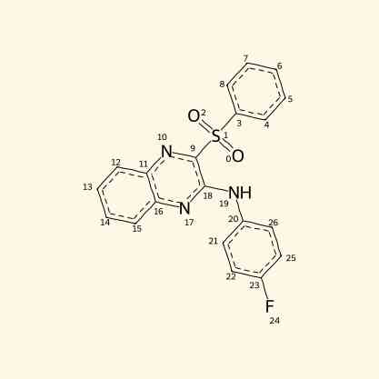 O=S(=O)(c1ccccc1)c1nc2ccccc2nc1Nc1ccc(F)cc1